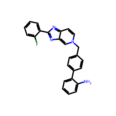 Nc1ccccc1-c1ccc(Cn2ccc3nc(-c4ccccc4F)nc-3c2)cc1